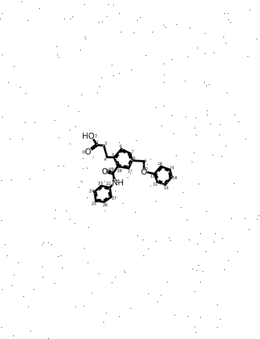 O=C(O)CCc1ccc(COc2ccccc2)cc1C(=O)Nc1ccccc1